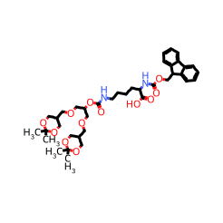 CC1(C)OCC(COCC(COCC2COC(C)(C)OC2)OC(=O)NCCCCC(NC(=O)OCC2c3ccccc3-c3ccccc32)C(=O)O)CO1